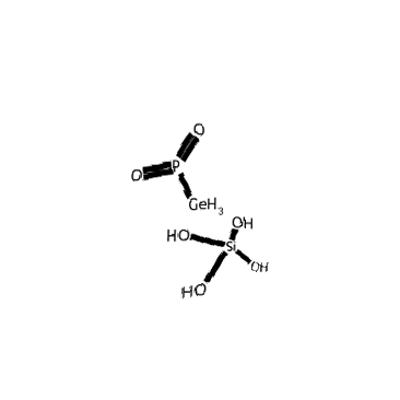 O=[P](=O)[GeH3].O[Si](O)(O)O